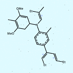 CC/C=C/C(=C\CC)c1ccc(N(/C=C(/C)CC)C2C=C(OC)C(C)=C(OC)C2)c(C)c1